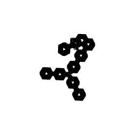 c1ccc(-c2ccc(N(c3ccc(-c4ccccc4)cc3)c3ccc(-c4ccc(-c5cccc6ccc7oc(-c8ccccc8)nc7c56)cc4)cc3)cc2)cc1